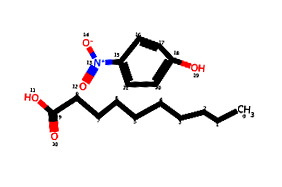 CCCCCCCCCC(=O)O.O=[N+]([O-])c1ccc(O)cc1